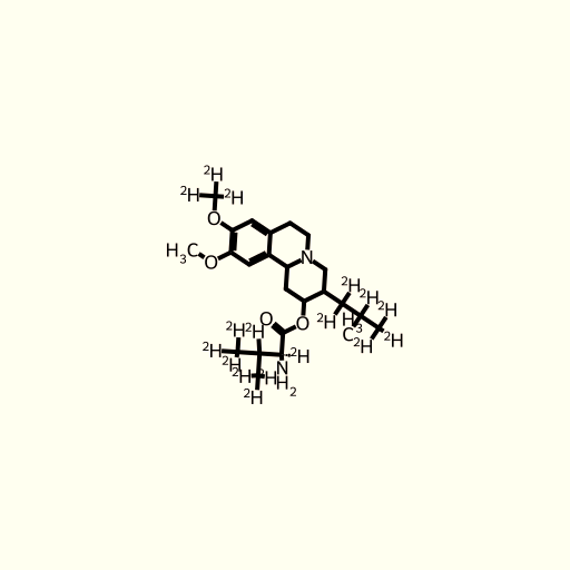 [2H]C([2H])([2H])Oc1cc2c(cc1OC)C1CC(OC(=O)[C@@]([2H])(N)C([2H])(C([2H])([2H])[2H])C([2H])([2H])[2H])C(C([2H])([2H])C([2H])(C)C([2H])([2H])[2H])CN1CC2